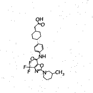 CC1CCCN(c2nc(C(F)(F)F)c(C(=O)Nc3ccc([C@H]4CC[C@H](CC(=O)O)CC4)cc3)o2)C1